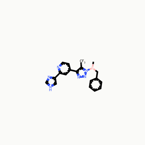 CB(Cc1ccccc1)n1nnc(-c2ccnc(-c3c[nH]cn3)c2)c1C(F)(F)F